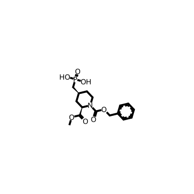 COC(=O)[C@H]1C[C@@H](CP(=O)(O)O)CCN1C(=O)OCc1ccccc1